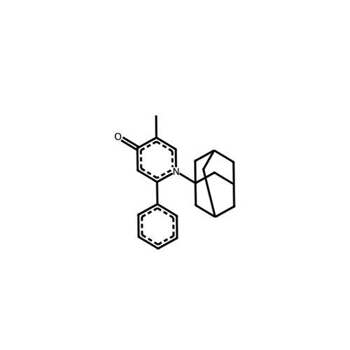 Cc1cn(C23CC4CC(CC(C4)C2)C3)c(-c2ccccc2)cc1=O